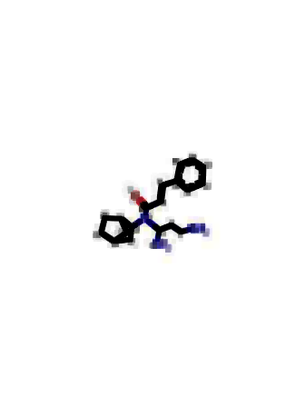 NCCC(N)N(C(=O)/C=C/c1ccccc1)C1CC2CCC1C2